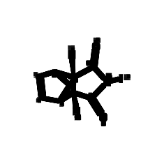 O=C1[C@@H]2C3C=CC(C3)[C@@H]2C(=O)N1I